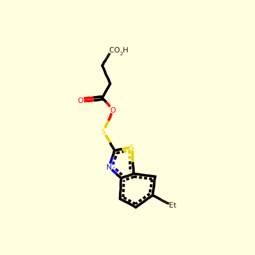 CCc1ccc2nc(SOC(=O)CCC(=O)O)sc2c1